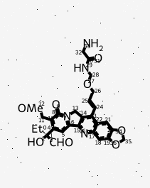 CC[C@@](O)(C=O)c1cc2n(c(=O)c1COC)Cc1c-2nc2cc3c(cc2c1/C=C/COCNC(=O)CN)OCO3